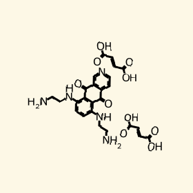 NCCNc1ccc(NCCN)c2c1C(=O)c1ccncc1C2=O.O=C(O)/C=C/C(=O)O.O=C(O)/C=C/C(=O)O